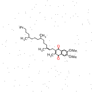 COc1cc2c(cc1OC)C(=O)C(CC=C(C)CCCC(C)CCCC(C)CCCC(C)C)=C(C)C2=O